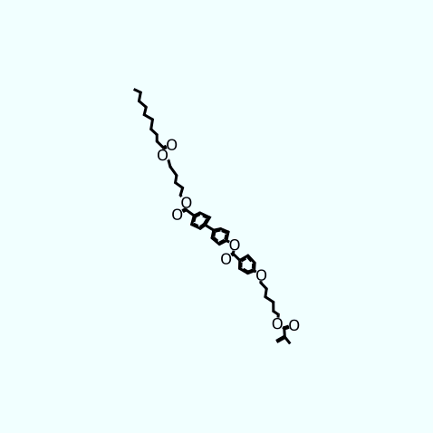 C=C(C)C(=O)OCCCCCCOc1ccc(C(=O)Oc2ccc(-c3ccc(C(=O)OCCCCCCOC(=O)CCCCCCCCC)cc3)cc2)cc1